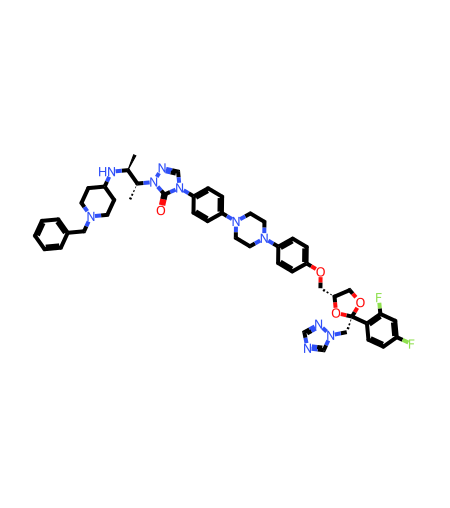 C[C@H](NC1CCN(Cc2ccccc2)CC1)[C@@H](C)n1ncn(-c2ccc(N3CCN(c4ccc(OC[C@@H]5CO[C@@](Cn6cncn6)(c6ccc(F)cc6F)O5)cc4)CC3)cc2)c1=O